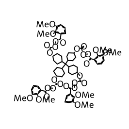 COc1cccc(C(=O)OOC(=O)OC2CCC(C(C3CCC(OC(=O)OOC(=O)c4cccc(OC)c4OC)CC3)(C3CCC(OC(=O)OOC(=O)c4cccc(OC)c4OC)CC3)C3CCC(OC(=O)OOC(=O)c4cccc(OC)c4OC)CC3)CC2)c1OC